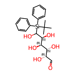 CC(C)(C)[Si](c1ccccc1)(c1ccccc1)C(O)[C@@H](O)[C@H](O)[C@H](O)[C@@H](O)C=O